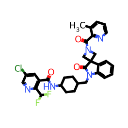 Cc1cccnc1C(=O)N1CC2(C1)C(=O)N(CC1CCC(NC(=O)c3cc(Cl)cnc3C(F)F)CC1)c1ccccc12